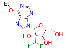 CCOc1ncnc2c1ncn2[C@@H]1O[C@H](CO)[C@@H](O)[C@@]1(O)C(F)F